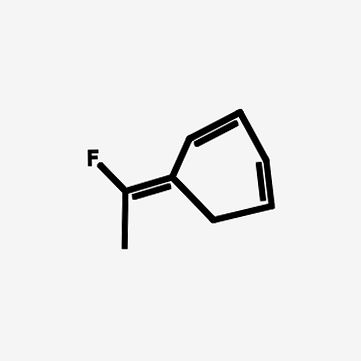 C/C(F)=C1/C=CC=CC1